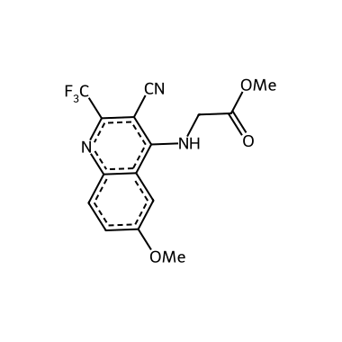 COC(=O)CNc1c(C#N)c(C(F)(F)F)nc2ccc(OC)cc12